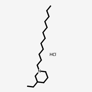 CCCCCCCCCCCCN1CCCC(CC)C1.Cl